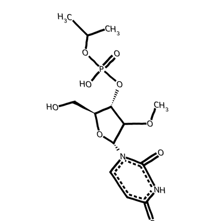 COC1[C@@H](OP(=O)(O)OC(C)C)[C@H](CO)O[C@H]1n1ccc(=O)[nH]c1=O